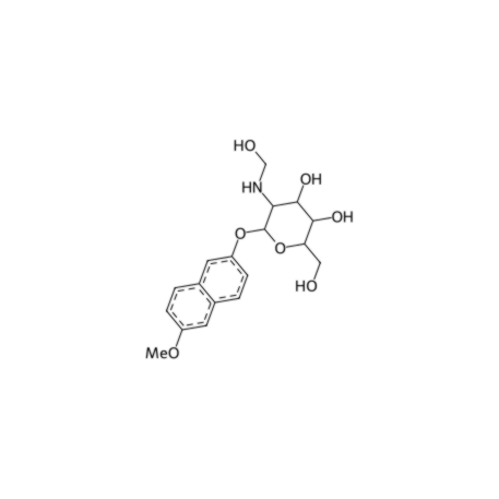 COc1ccc2cc(OC3OC(CO)C(O)C(O)C3NCO)ccc2c1